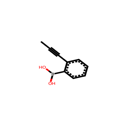 CC#Cc1ccccc1B(O)O